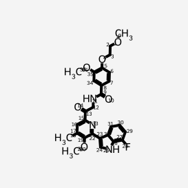 COCCOc1ccc(C(=O)NCC(=O)c2cc(C)c(OC)c(-c3c[nH]c4c(F)cccc34)n2)cc1OC